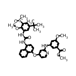 COC(=O)c1cc(Nc2cc(Oc3ccc(NC(=O)Nc4cc(C(C)(C)C)cc([S+](C)[O-])c4OC)c4ccccc34)ccn2)cc(OC)c1